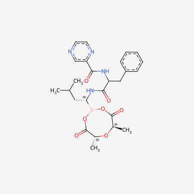 CC(C)C[C@H](NC(=O)C(Cc1ccccc1)NC(=O)c1cnccn1)B1OC(=O)[C@@H](C)O[C@H](C)C(=O)O1